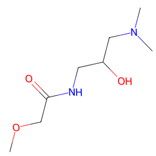 COCC(=O)NCC(O)CN(C)C